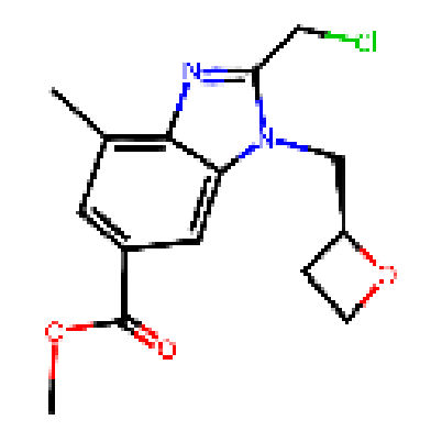 COC(=O)c1cc(C)c2nc(CCl)n(C[C@@H]3CCO3)c2c1